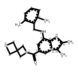 Cc1cccc(C)c1CNc1cc(C(=O)N2CC3(COC3)C2)cn2c(C)c(C)nc12